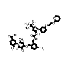 Cc1ccc(COc2cc(C)n(-c3cc(C(=O)O)ccc3C)c(=O)c2Cl)c(CNC(=O)Nc2cc(C(C)(C)C)nn2-c2cccc(OCCOC3CCCCO3)c2)c1